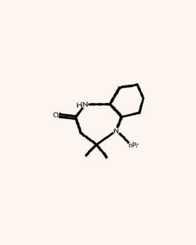 CCCN1C2CCCCC2NC(=O)CC1(C)C